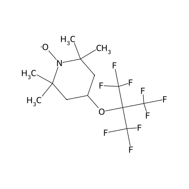 CC1(C)CC(OC(C(F)(F)F)(C(F)(F)F)C(F)(F)F)CC(C)(C)N1[O]